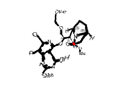 COCOC[C@H](Oc1nc(Cl)c(F)c2nc(SC)nc(O)c12)[C@H]1NC[C@H]2CC[C@@H]1N2C(=O)OC(C)(C)C